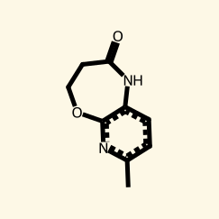 Cc1ccc2c(n1)OCCC(=O)N2